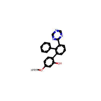 CCCCCCOc1ccc(-c2cccc(-c3ncncn3)c2-c2ccccc2)c(O)c1